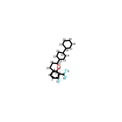 Fc1ccc2c(c1C(F)F)OC(C1CCC(C3CCCCC3)CC1)CC2